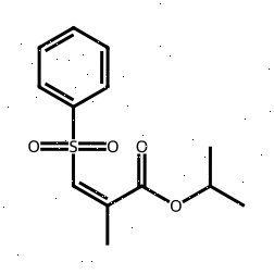 CC(=CS(=O)(=O)c1ccccc1)C(=O)OC(C)C